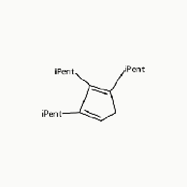 CCCC(C)C1=CCC(C(C)CCC)=C1C(C)CCC